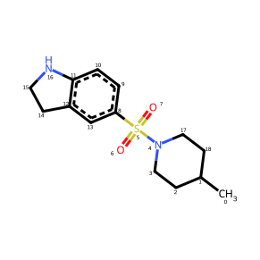 CC1CCN(S(=O)(=O)c2ccc3c(c2)CCN3)CC1